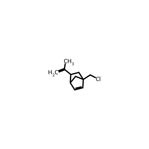 C=C(C)C1CC2(CCl)C=CC1C2